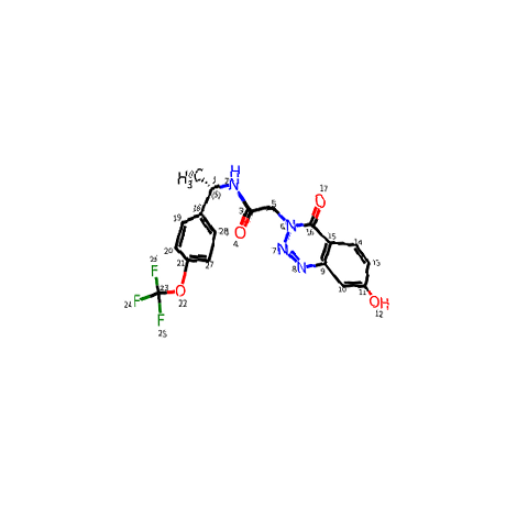 C[C@H](NC(=O)Cn1nnc2cc(O)ccc2c1=O)c1ccc(OC(F)(F)F)cc1